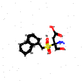 N[C@](C=O)(CC(=O)O)S(=O)(=O)Cc1cccc2ccccc12